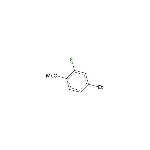 C[CH]c1ccc(OC)c(F)c1